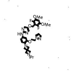 COc1cc(OC)c(F)c(COc2cnc(Nc3ccc(N4CC5(C4)CN(C(C)C)C5)c(OCCn4cccn4)c3)nc2)c1F